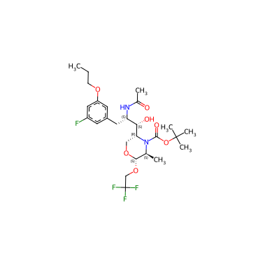 CCCOc1cc(F)cc(C[C@H](NC(C)=O)[C@H](O)[C@H]2CO[C@@H](OCC(F)(F)F)[C@H](C)N2C(=O)OC(C)(C)C)c1